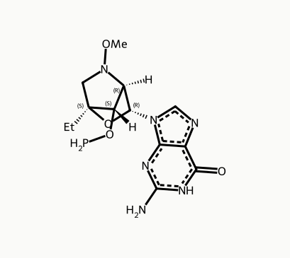 CC[C@@]12CN(OC)[C@@H]([C@H](n3cnc4c(=O)[nH]c(N)nc43)O1)[C@@H]2OP